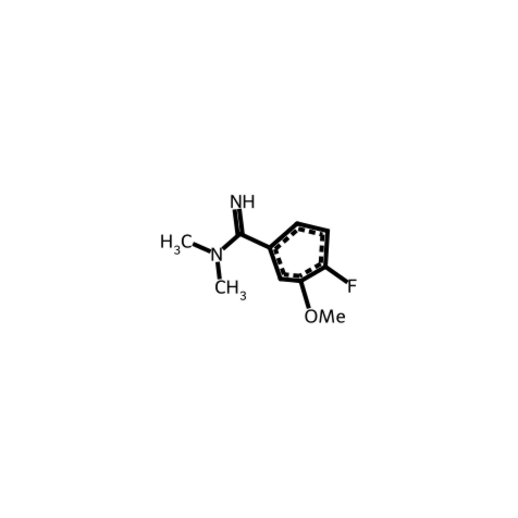 COc1cc(C(=N)N(C)C)ccc1F